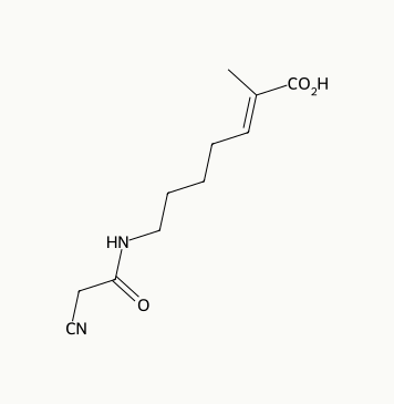 CC(=CCCCCNC(=O)CC#N)C(=O)O